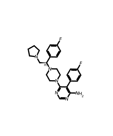 Nc1ncnc(N2CCN([C@@H](CN3CCCC3)c3ccc(F)cc3)CC2)c1-c1ccc(F)cc1